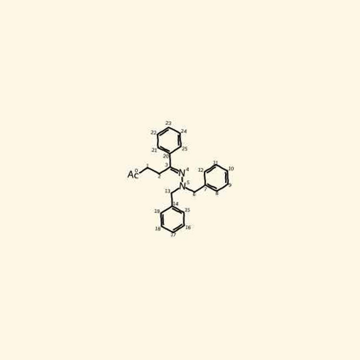 CC(=O)CCC(=NN(Cc1ccccc1)Cc1ccccc1)c1ccccc1